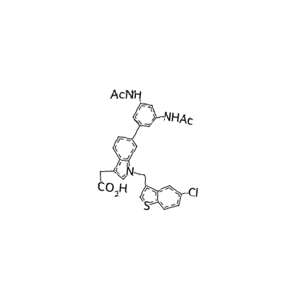 CC(=O)Nc1cc(NC(C)=O)cc(-c2ccc3c(CC(=O)O)cn(Cc4csc5ccc(Cl)cc45)c3c2)c1